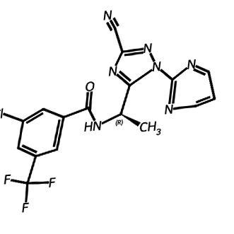 C[C@@H](NC(=O)c1cc(Cl)cc(C(F)(F)F)c1)c1nc(C#N)nn1-c1ncccn1